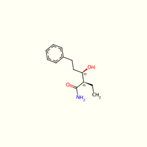 CC[C@@H](C(N)=O)[C@H](O)CCc1ccccc1